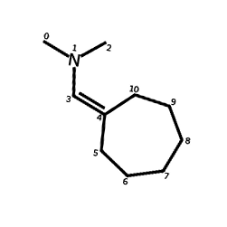 CN(C)C=C1CCCCCC1